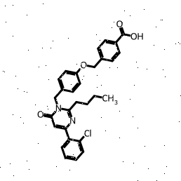 CCCCc1nc(-c2ccccc2Cl)cc(=O)n1Cc1ccc(OCc2ccc(C(=O)O)cc2)cc1